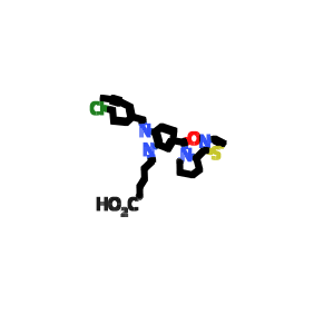 CC#C/C=C(\C=C/CCl)/C=N/c1ccc(C(=O)N2CCCCC2c2nccs2)cc1/N=C/CCCCC(=O)O